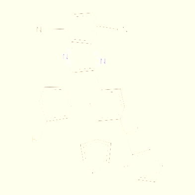 N#Cc1ccc(C#N)c2nc(-c3ccc(P(=O)(c4ccccc4)c4ccccc4)cc3)c(-c3ccc(Br)cc3)nc12